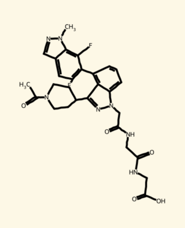 CC(=O)N1CCC(c2nn(CC(=O)NCC(=O)NCC(=O)O)c3cccc(-c4c(F)cc5cnn(C)c5c4F)c23)CC1